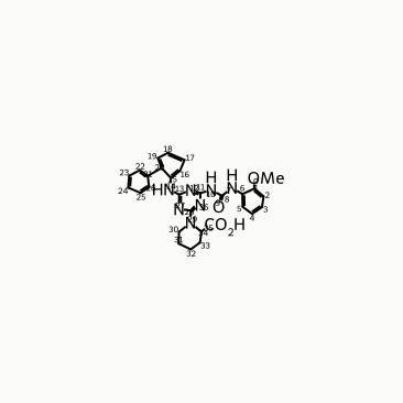 COc1ccccc1NC(=O)Nc1nc(Nc2ccccc2-c2ccccc2)nc(N2CCCCC2C(=O)O)n1